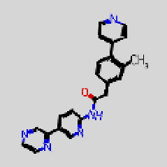 Cc1cc(CC(=O)Nc2ccc(-c3cnccn3)cn2)ccc1-c1ccncc1